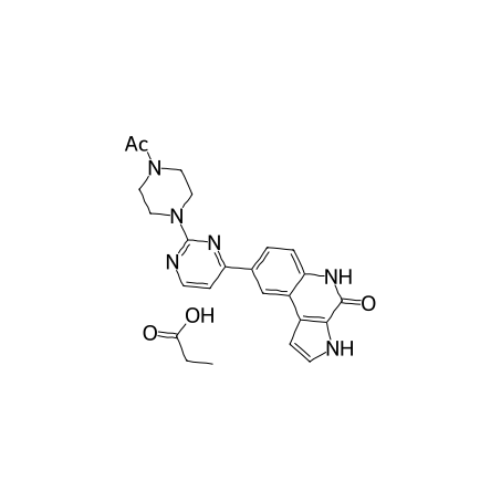 CC(=O)N1CCN(c2nccc(-c3ccc4[nH]c(=O)c5[nH]ccc5c4c3)n2)CC1.CCC(=O)O